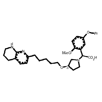 COc1ccc(OC(C)C)cc1C(C(=O)O)N1CC[C@@H](OCCCCCc2ccc3c(n2)NCCC3)C1